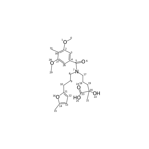 COc1cc(C(=O)N(CCCc2ccc(C)o2)CCCC(C)(O)C(=O)O)cc(OC)c1C